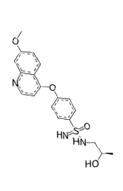 COc1ccc2c(Oc3ccc([S@](=N)(=O)NC[C@@H](C)O)cc3)ccnc2c1